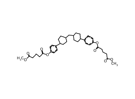 COC(=O)CCCC(=O)Oc1ccc(C2CCC(CC3CCC(c4ccc(OC(=O)CCCC(=O)OC)cc4)CC3)CC2)cc1